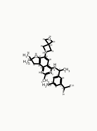 Cc1nc(NC(C)c2cc(N)cc(C(F)F)c2)c2cc(N3CC4(COC4)C3)c3c(c2n1)CC(C)(C)O3